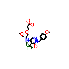 COC[C@@H](COCCC(=O)OC)Nc1cnn(Cc2ccc(OC)cc2)c(=O)c1C(F)(F)F